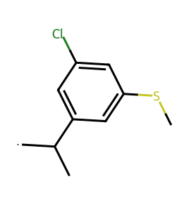 [CH2]C(C)c1cc(Cl)cc(SC)c1